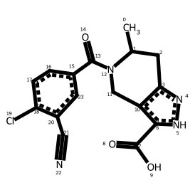 CC1Cc2n[nH]c(C(=O)O)c2CN1C(=O)c1ccc(Cl)c(C#N)c1